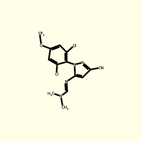 CN(C)C=Nc1cc(C#N)nn1-c1c(Cl)cc(OC(F)(F)F)cc1Cl